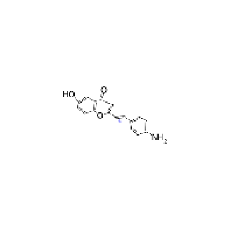 Nc1ccc(/C=C/c2cc(=O)c3cc(O)ccc3o2)cc1